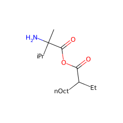 CCCCCCCCC(CC)C(=O)OC(=O)C(C)(N)C(C)C